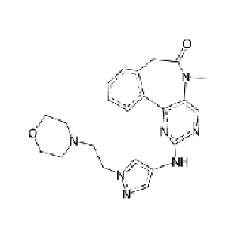 CN1C(=O)Cc2ccccc2-c2nc(Nc3cnn(CCN4CCOCC4)c3)ncc21